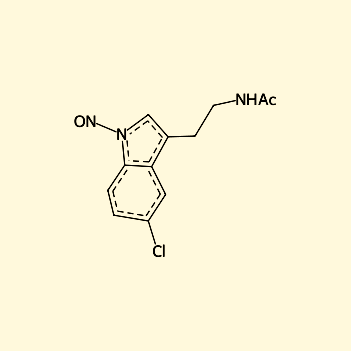 CC(=O)NCCc1cn(N=O)c2ccc(Cl)cc12